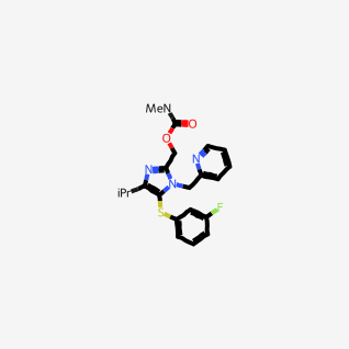 CNC(=O)OCc1nc(C(C)C)c(Sc2cccc(F)c2)n1Cc1ccccn1